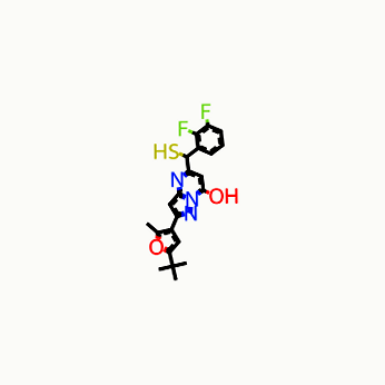 Cc1oc(C(C)(C)C)cc1-c1cc2nc(C(S)c3cccc(F)c3F)cc(O)n2n1